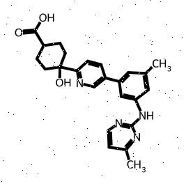 Cc1cc(Nc2nccc(C)n2)cc(-c2ccc(C3(O)CCC(C(=O)O)CC3)nc2)c1